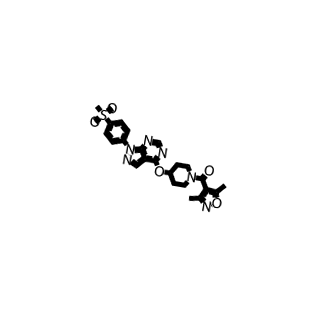 Cc1noc(C)c1C(=O)N1CCC(Oc2ncnc3c2cnn3-c2ccc(S(C)(=O)=O)cc2)CC1